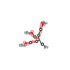 CC(C)Cc1ccc(CCC(CC(Oc2ccc(OCC(=O)OC(C)(C)C)cc2)c2ccc(COc3ccc(OCC(=O)OC(C)(C)C)cc3)cc2)c2ccc(COc3ccc(OCC(=O)OC(C)(C)C)cc3)cc2)cc1